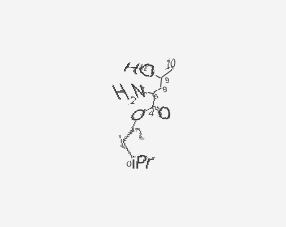 CC(C)CCOC(=O)C(N)CC(C)O